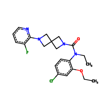 CCOc1cc(Cl)ccc1N(CC)C(=O)N1CC2(C1)CN(c1ncccc1F)C2